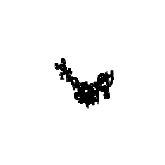 C[Si](C)(C)CCOCn1ncc(NC(CO)C2CC2)c(C(F)(F)F)c1=O